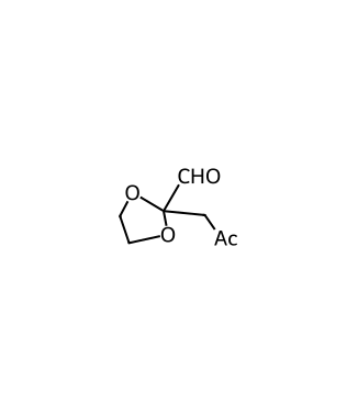 CC(=O)CC1(C=O)OCCO1